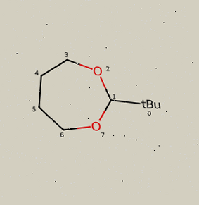 CC(C)(C)C1OCCCCO1